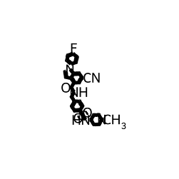 CN1CCC(NS(=O)(=O)c2ccc(CNC(=O)c3cc(C#N)cc4c3ccn4-c3ccc(F)cc3)cc2)CC1